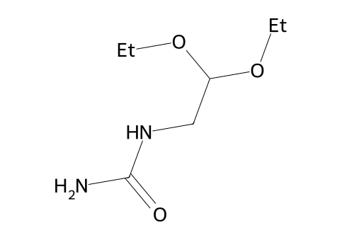 CCOC(CNC(N)=O)OCC